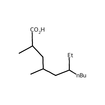 CCCCC(CC)CC(C)CC(C)C(=O)O